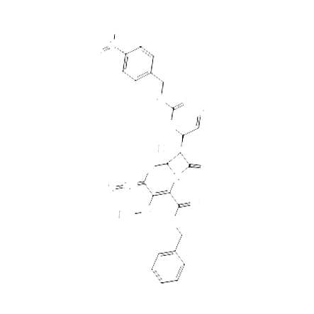 COC1=C(C(=O)OCc2ccccc2)N2C(=O)[C@H](C(C=O)OC(=O)OCc3ccc([N+](=O)[O-])cc3)[C@@H]2SC1=[N+]=[N-]